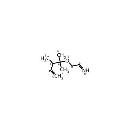 C=CC(C)C(C)(C)OCC=N